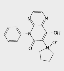 O=c1c([N+]2([O-])CCCC2)c(O)c2nccnc2n1-c1ccccc1